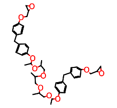 CC(COC(C)COC(C)Oc1ccc(Cc2ccc(OCC3CO3)cc2)cc1)OCC(C)OC(C)Oc1ccc(Cc2ccc(OCC3CO3)cc2)cc1